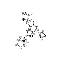 CC(O)C(F)(F)Oc1ccc(-c2cscn2)c2oc(N3CC4CCC(C3)N4)nc12